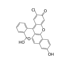 O=C(O)c1ccccc1-c1c2cc(Cl)c(=O)cc-2oc2c1ccc1cc(O)ccc12